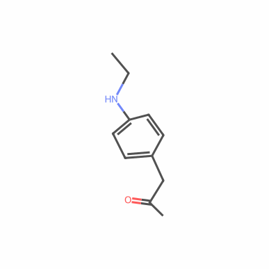 CCNc1ccc(CC(C)=O)cc1